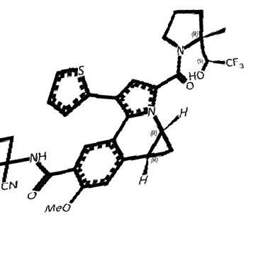 COc1cc2c(cc1C(=O)NC1(C#N)CCC1)-c1c(-c3cccs3)cc(C(=O)N3CCC[C@]3(C)[C@H](O)C(F)(F)F)n1[C@@H]1C[C@H]21